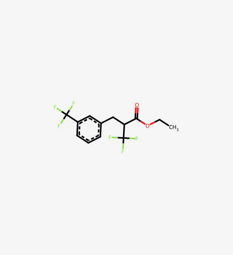 CCOC(=O)C(Cc1cccc(C(F)(F)F)c1)C(F)(F)F